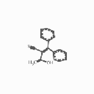 C=C(O)C(C#N)=C(c1ccccc1)c1ccccc1